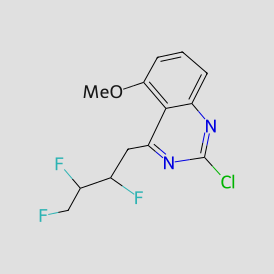 COc1cccc2nc(Cl)nc(CC(F)C(F)CF)c12